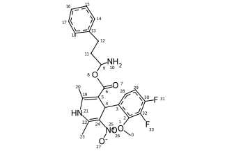 COc1c(C2C(C(=O)OC(N)CCc3ccccc3)=C(C)NC(C)=C2[N+](=O)[O-])ccc(F)c1F